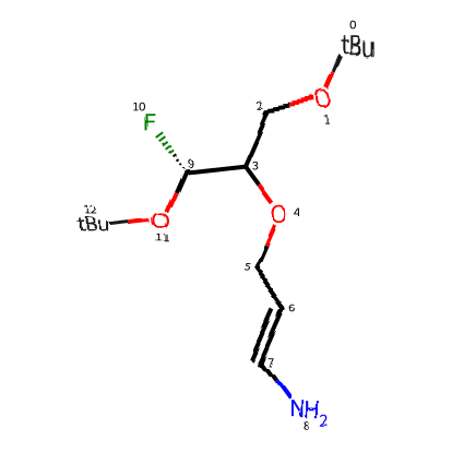 CC(C)(C)OCC(OCC=CN)[C@@H](F)OC(C)(C)C